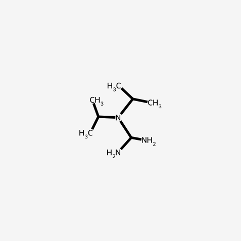 CC(C)N(C(C)C)C(N)N